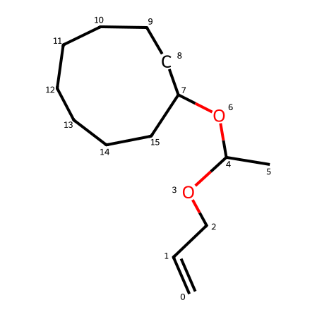 C=CCOC(C)OC1CCCCCCCC1